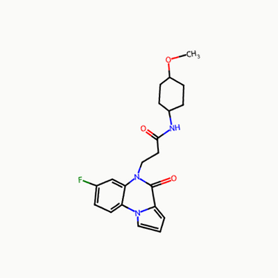 COC1CCC(NC(=O)CCn2c(=O)c3cccn3c3ccc(F)cc32)CC1